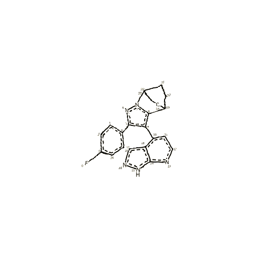 Fc1ccc(-c2nn3c(c2-c2ccnc4[nH]ncc24)C2CCC3CC2)cc1